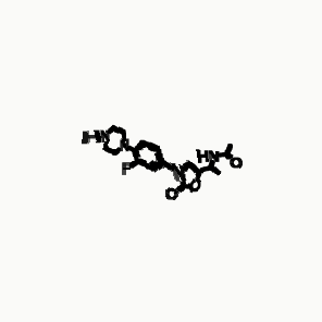 CC(=O)NC(C)C1CN(c2ccc(N3CCNCC3)c(F)c2)C(=O)O1